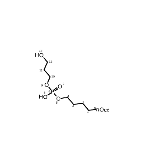 CCCCCCCCCCCCOP(=O)(O)OCCCO